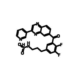 O=C(c1ccc2ncc(-c3cccnc3)nc2c1)c1cc(CCCN[SH](=O)=O)cc(F)c1F